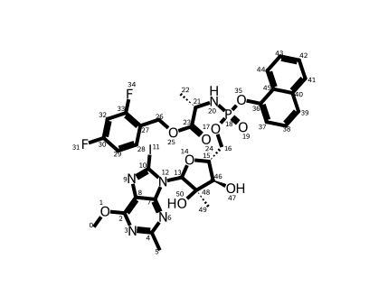 COc1nc(C)nc2c1nc(I)n2C1O[C@H](COP(=O)(N[C@@H](C)C(=O)OCc2ccc(F)cc2F)Oc2cccc3ccccc23)[C@@H](O)[C@@]1(C)O